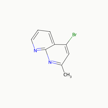 Cc1cc(Br)c2cccnc2n1